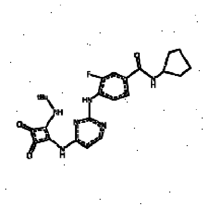 CC(C)(C)Nc1c(Nc2ccnc(Nc3ccc(C(=O)NC4CCCC4)cc3F)n2)c(=O)c1=O